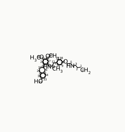 C=CCCNCCOc1ccc(CC(C)Nc2cc(OC)c(OC)cc2C2CCc3cc(O)ccc3C2)cc1